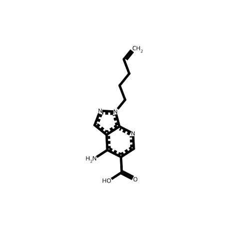 C=CCCCn1ncc2c(N)c(C(=O)O)cnc21